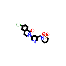 O=C1c2ccc(Cl)cc2CCN1c1cncc(CN2CCCCS2(=O)=O)c1